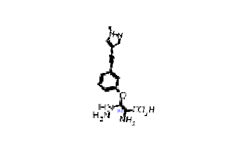 Cn1cc(C#Cc2cccc(O/C(NN)=C(/N)C(=O)O)c2)cn1